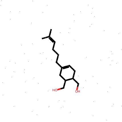 CC(C)=CCCCC1=CCC(CO)C(CO)C1